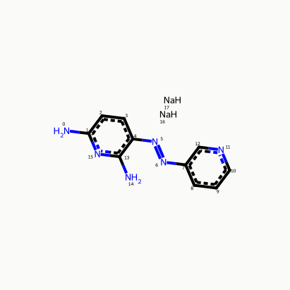 Nc1ccc(N=Nc2cccnc2)c(N)n1.[NaH].[NaH]